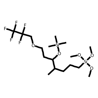 CO[Si](CCCC(C)C(CCOCC(F)(F)C(F)(F)F)O[Si](C)(C)C)(OC)OC